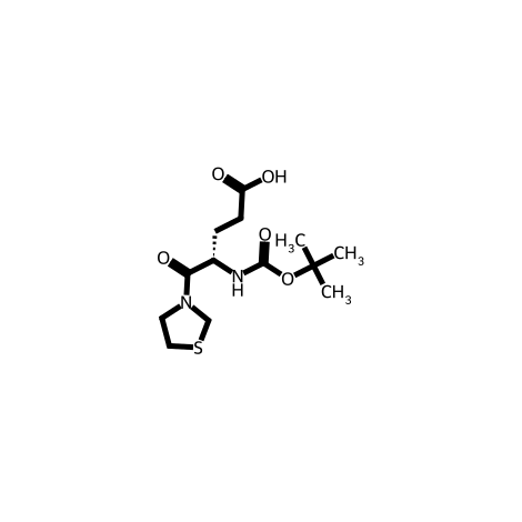 CC(C)(C)OC(=O)N[C@@H](CCC(=O)O)C(=O)N1CCSC1